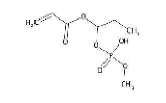 C=CC(=O)OC(CC)OP(=O)(O)OC